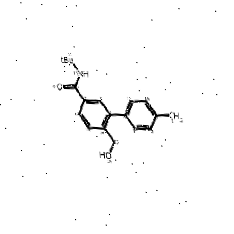 Cc1ccc(-c2cc(C(=O)NC(C)(C)C)ccc2CO)cc1